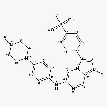 Cc1cc(-c2ccc(S(C)(=O)=O)cc2)n2nc(Nc3ccc(N4CCN(C)CC4)cc3)ncc12